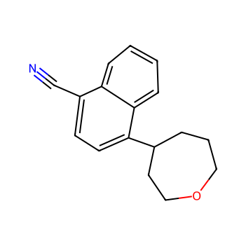 N#Cc1ccc(C2CCCOCC2)c2ccccc12